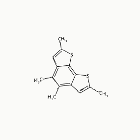 Cc1cc2c(C)c(C)c3cc(C)sc3c2s1